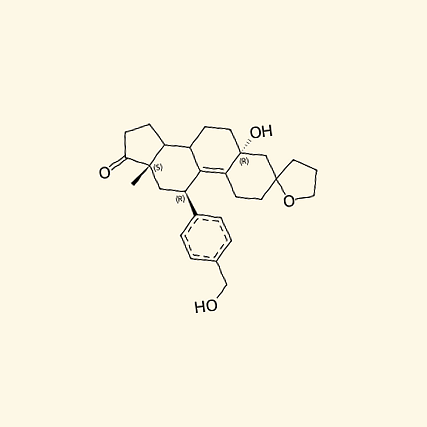 C[C@]12C[C@H](c3ccc(CO)cc3)C3=C4CCC5(CCCO5)C[C@]4(O)CCC3C1CCC2=O